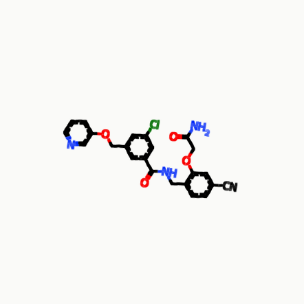 N#Cc1ccc(CNC(=O)c2cc(Cl)cc(COc3cccnc3)c2)c(OCC(N)=O)c1